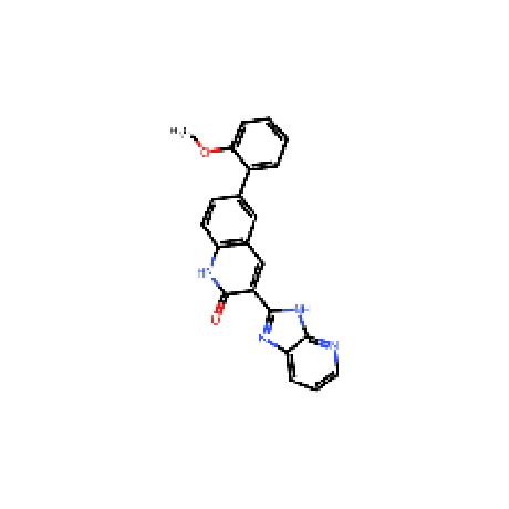 COc1ccccc1-c1ccc2[nH]c(=O)c(-c3nc4cccnc4[nH]3)cc2c1